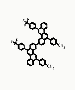 Cc1ccc(-c2cc3c4cc(-c5ccc6c(-c7ccc(C)cc7)cc7c8ccccc8c(-c8ccc(C(F)(F)F)cc8)cc7c6c5)ccc4c(-c4ccc(C(F)(F)F)cc4)cc3c3ccccc23)cc1